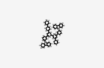 C1=CCC(c2cc(-c3cccc(N4c5ccccc5C5C=CC=CC54)c3)nc(C3CC(C4=CC=C(C5=CCCC=C5)CC4)=CC(c4cccc(-n5c6c(c7ccccc75)C=CCC6)c4)=N3)c2)C=C1